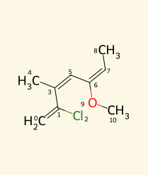 C=C(Cl)/C(C)=C\C(=C/C)OC